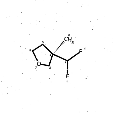 C[C@@]1(C(F)F)CCOC1